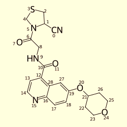 N#CC1CSCN1C(=O)CNC(=O)c1ccnc2ccc(OC3CCOCC3)cc12